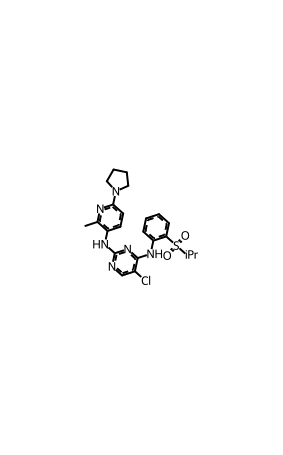 Cc1nc(N2CCCC2)ccc1Nc1ncc(Cl)c(Nc2ccccc2S(=O)(=O)C(C)C)n1